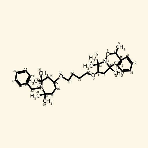 CC(ON1C(C)(C)CC(OCCCCOC2CCC(C)(C)N(Cc3ccccc3)C(C)(C)C2)C1(C)C)c1ccccc1